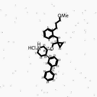 COCCCc1ccccc1CC1(CO[C@H]2CNCC[C@@H]2c2cccc(-c3ccccc3)c2)CC1.Cl